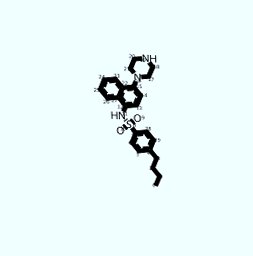 CCCCc1ccc(S(=O)(=O)Nc2ccc(N3CCNCC3)c3ccccc23)cc1